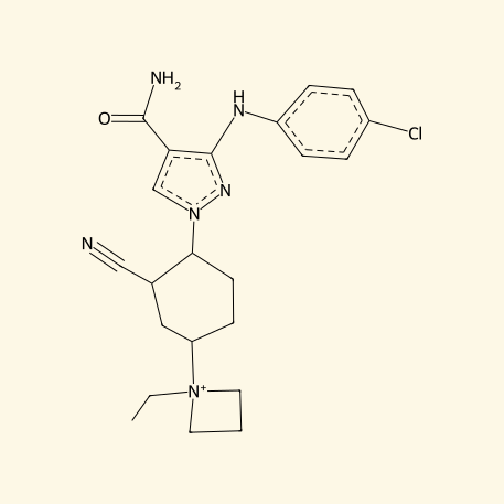 CC[N+]1(C2CCC(n3cc(C(N)=O)c(Nc4ccc(Cl)cc4)n3)C(C#N)C2)CCC1